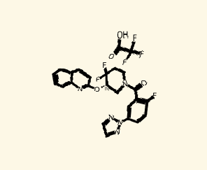 O=C(O)C(F)(F)F.O=C(c1cc(-n2nccn2)ccc1F)N1CCC(F)(F)[C@@H](Oc2ccc3ccccc3n2)C1